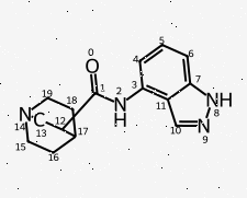 O=C(Nc1cccc2[nH]ncc12)C1CN2CCC1CC2